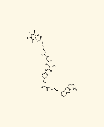 CCCCCc1cc2c(CCCCCNC(=O)OCc3ccc(NC(=O)C(C)NC(=O)CNC(=O)CCCCCC(=O)Oc4c(F)c(F)c(F)c(F)c4F)cc3)cccc2nc1N